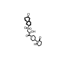 O=C([C@H](O)CS(=O)(=O)c1ccc2cc(Cl)ccc2c1)N1CCC(N2NCCCC2=O)CC1